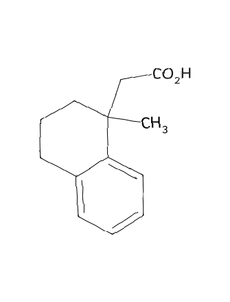 CC1(CC(=O)O)CCCc2ccccc21